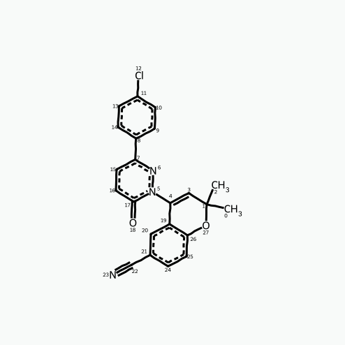 CC1(C)C=C(n2nc(-c3ccc(Cl)cc3)ccc2=O)c2cc(C#N)ccc2O1